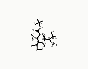 CCC(C)C(C(CC(=O)OC(C)(C)C)OC)N(C)C(=O)C(N)C(C)C